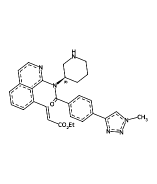 CCOC(=O)C=Cc1cccc2ccnc(N(C(=O)c3ccc(-c4cn(C)nn4)cc3)[C@@H]3CCCNC3)c12